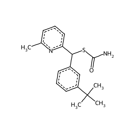 Cc1cccc(C(SC(N)=O)c2cccc(C(C)(C)C)c2)n1